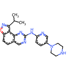 CC(C)c1noc2ccc3cnc(Nc4ccc(N5CCNCC5)cn4)nc3c12